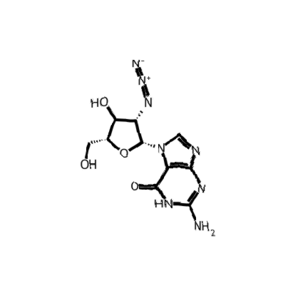 [N-]=[N+]=N[C@H]1C(O)[C@@H](CO)O[C@H]1n1cnc2nc(N)[nH]c(=O)c21